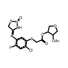 CC(=O)OC1COCC1OC(=O)CSc1cc(N=C2CS[N+](=O)N2)c(F)cc1Cl